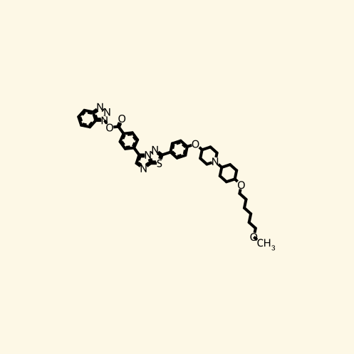 COCCCCCCOC1CCC(N2CCC(Oc3ccc(-c4nn5c(-c6ccc(C(=O)On7nnc8ccccc87)cc6)cnc5s4)cc3)CC2)CC1